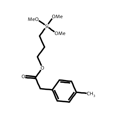 CO[Si](CCCOC(=O)Cc1ccc(C)cc1)(OC)OC